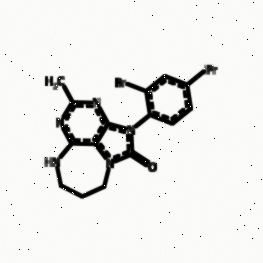 Cc1nc2c3c(n1)n(-c1ccc(C(C)C)cc1Br)c(=O)n3CCCN2